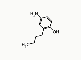 CCCCc1cc(N)ccc1O